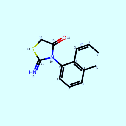 C/C=C\c1c(C)cccc1N1C(=N)SCC1=O